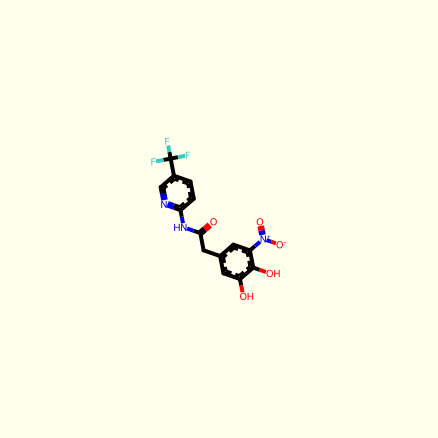 O=C(Cc1cc(O)c(O)c([N+](=O)[O-])c1)Nc1ccc(C(F)(F)F)cn1